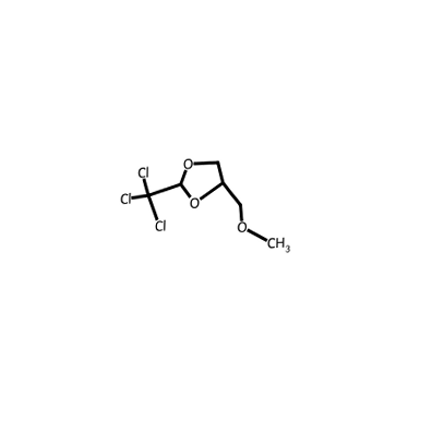 COCC1COC(C(Cl)(Cl)Cl)O1